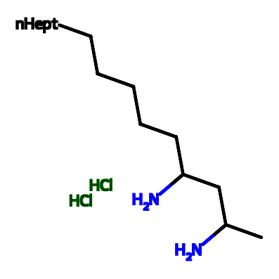 CCCCCCCCCCCCC(N)CC(C)N.Cl.Cl